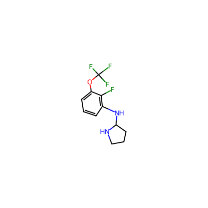 Fc1c(NC2CCCN2)cccc1OC(F)(F)F